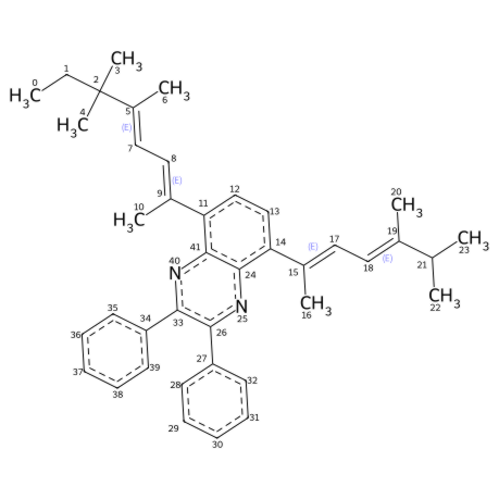 CCC(C)(C)/C(C)=C/C=C(\C)c1ccc(/C(C)=C/C=C(\C)C(C)C)c2nc(-c3ccccc3)c(-c3ccccc3)nc12